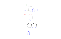 CC1CN(c2ccc(C#N)c3ncccc23)CC(C(=O)N(C)[C@@H]2CNCC[C@@H]2F)O1